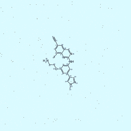 C#Cc1cc(F)c2nc(Nc3cc(OCCN)cc(-c4cnn(C)c4)c3)ncc2c1